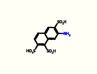 Nc1cc2c(S(=O)(=O)O)c(S(=O)(=O)O)ccc2cc1S(=O)(=O)O